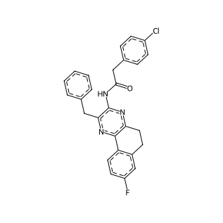 O=C(Cc1ccc(Cl)cc1)Nc1nc2c(nc1Cc1ccccc1)-c1ccc(F)cc1CC2